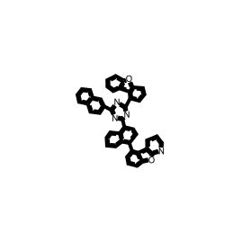 c1ccc2cc(-c3nc(-c4ccc(-c5cccc6oc7ncccc7c56)c5ccccc45)nc(-c4cccc5oc6ccccc6c45)n3)ccc2c1